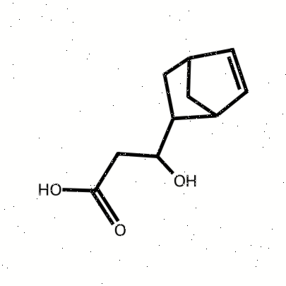 O=C(O)CC(O)C1CC2C=CC1C2